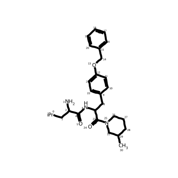 CC(C)CC(N)C(=O)NC(Cc1ccc(OCc2ccccc2)cc1)C(=O)N1CCCC(C)C1